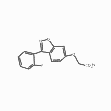 O=C(O)COc1ccc2c(-c3ccccc3F)noc2c1